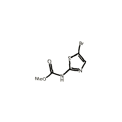 COC(=O)Nc1ncc(Br)s1